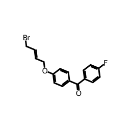 O=C(c1ccc(F)cc1)c1ccc(OC/C=C/CBr)cc1